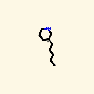 CCCCC[C@H]1CCCNC1